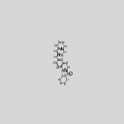 O=C(C1CCCCC1)N1CCc2cc(CN3CCN4CCCCC4C3)ccc2C1